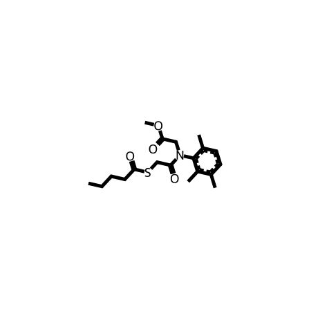 CCCCC(=O)SCC(=O)N(CC(=O)OC)c1c(C)ccc(C)c1C